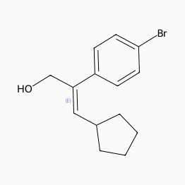 OC/C(=C/C1CCCC1)c1ccc(Br)cc1